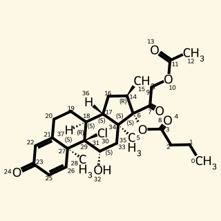 CCCC(=O)O[C@@]1(C(=O)COC(C)=O)[C@H](C)C[C@H]2[C@@H]3CCC4=CC(=O)C=C[C@]4(C)[C@@]3(Cl)[C@@H](O)C[C@@]21C